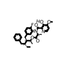 CC[C@H](Cc1ccccc1)[C@@H](Cc1ccc(F)cc1)[C@H](C)OC(=O)[C@H](C)NC(=O)c1nccc(OC)c1O